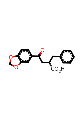 O=C(CC(Cc1ccccc1)C(=O)O)c1ccc2c(c1)OCO2